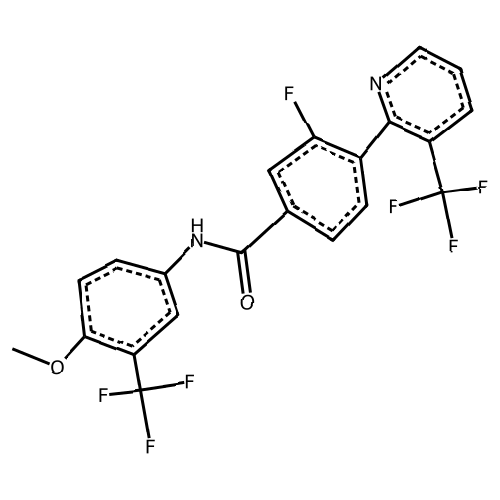 COc1ccc(NC(=O)c2ccc(-c3ncccc3C(F)(F)F)c(F)c2)cc1C(F)(F)F